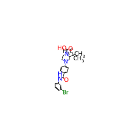 CC(C)(C)C1CN(c2ccc(C(=O)Nc3cccc(Br)c3)cc2)CCN1C(=O)O